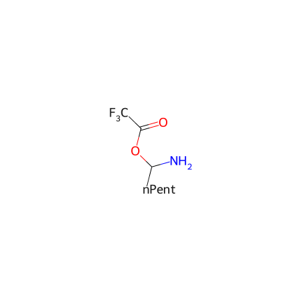 CCCCCC(N)OC(=O)C(F)(F)F